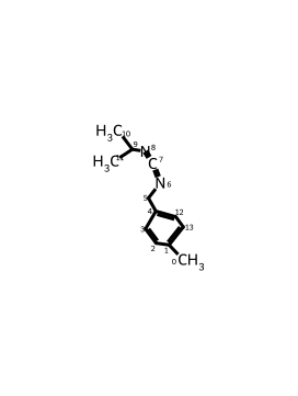 Cc1ccc(CN=C=NC(C)C)cc1